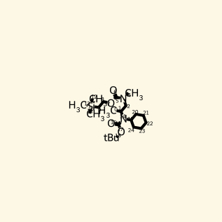 CC(CN(C)C(=O)OCC[Si](C)(C)C)N(C(=O)OC(C)(C)C)C1CCCCC1